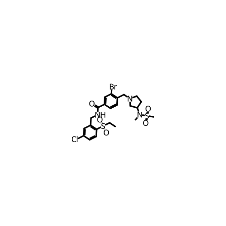 CCS(=O)(=O)c1ccc(Cl)cc1CNC(=O)c1ccc(CN2CCC(N(C)S(C)(=O)=O)C2)c(Br)c1